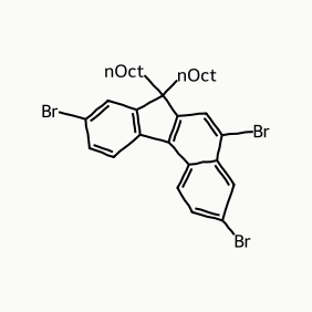 CCCCCCCCC1(CCCCCCCC)c2cc(Br)ccc2-c2c1cc(Br)c1cc(Br)ccc21